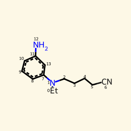 CCN(CCCCC#N)c1cccc(N)c1